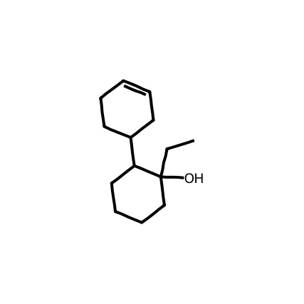 CCC1(O)CCCCC1C1CC=CCC1